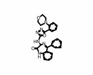 O=C1Nc2ccccc2C(c2ccccc2)=NC1Nc1nnc(-c2ccccc2N2CCOCC2)o1